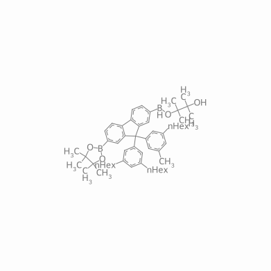 CCCCCCc1cc(C)cc(C2(c3cc(CCCCCC)cc(CCCCCC)c3)c3cc(BOC(C)(C)C(C)(C)O)ccc3-c3ccc(B4OC(C)(C)C(C)(C)O4)cc32)c1